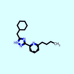 CCCCc1cccc(-c2n[nH]c(CC3CCCCC3)n2)n1